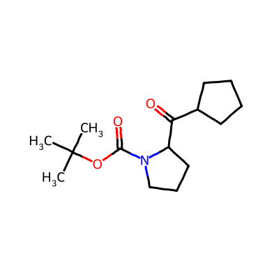 CC(C)(C)OC(=O)N1CCCC1C(=O)C1CCCC1